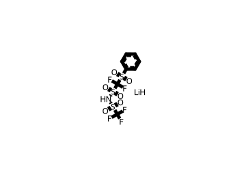 O=S(=O)(NS(=O)(=O)C(F)(F)S(=O)(=O)c1ccccc1)C(F)(F)F.[LiH]